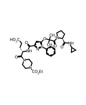 CCOC(=O)N1CCN(C(=O)[C@H](CCC(=O)O)NC(=O)c2cc(OC(C)(C)C(=O)N3CCC[C@H]3C(=O)NC3CC3)n(-c3ccccc3)n2)CC1